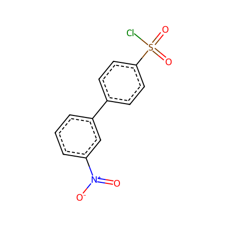 O=[N+]([O-])c1cccc(-c2ccc(S(=O)(=O)Cl)cc2)c1